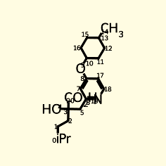 CC(C)CCC(O)(Cc1cc(OC2CCC(C)CC2)ccn1)C(=O)O